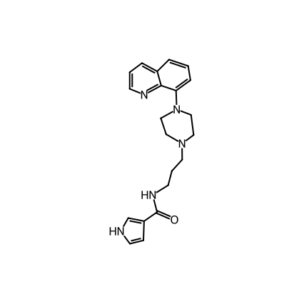 O=C(NCCCN1CCN(c2cccc3cccnc23)CC1)c1cc[nH]c1